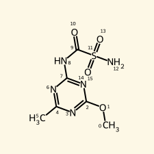 COc1nc(C)nc(NC(=O)S(N)(=O)=O)n1